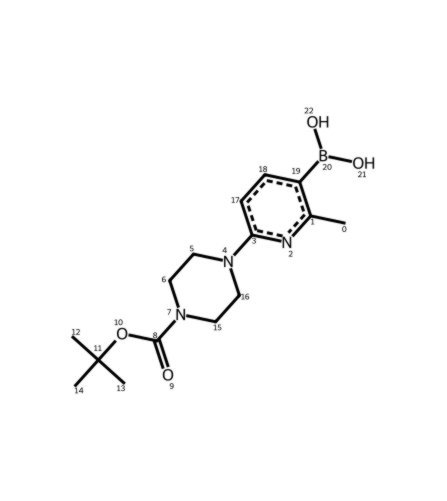 Cc1nc(N2CCN(C(=O)OC(C)(C)C)CC2)ccc1B(O)O